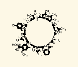 CC[C@H](C)[C@@H]1NC(=O)[C@H](CC(C)C)N(C)C(=O)CN(C)C(=O)C[C@@H](C(=O)N2CCCCC2)NC(=O)[C@H](CC(C)C)N(C)C(=O)[C@H](Cc2ccc(C(O)NO)c(OC)c2)NC(=O)[C@H](CC(C)C)N(C)C(=O)[C@H](Cc2cccc(Cl)c2)N(C)C(=O)CN(C)C(=O)[C@H]([C@@H](C)O)NC(=O)C(CC(C)C)N(C)C1=O